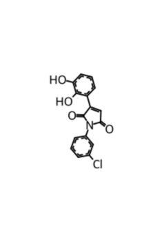 O=C1C=C(c2cccc(O)c2O)C(=O)N1c1cccc(Cl)c1